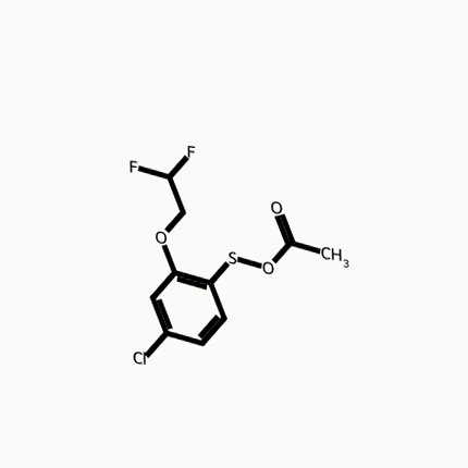 CC(=O)OSc1ccc(Cl)cc1OCC(F)F